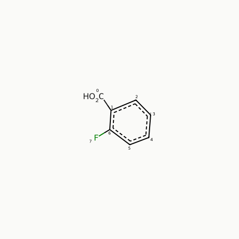 O=C(O)c1c[c]ccc1F